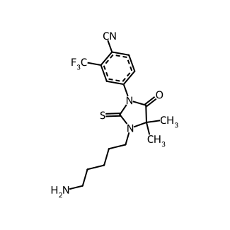 CC1(C)C(=O)N(c2ccc(C#N)c(C(F)(F)F)c2)C(=S)N1CCCCCN